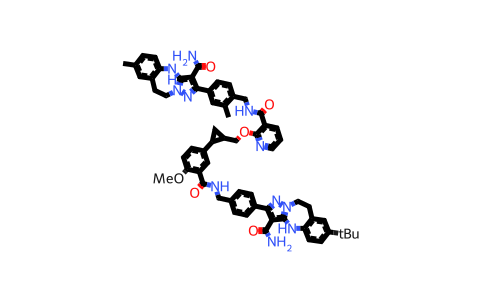 COc1ccc(C2CC2COc2ncccc2C(=O)NCc2ccc(-c3nn4c(c3C(N)=O)Nc3ccc(C)cc3CC4)cc2C)cc1C(=O)NCc1ccc(-c2nn3c(c2C(N)=O)Nc2ccc(C(C)(C)C)cc2CC3)cc1